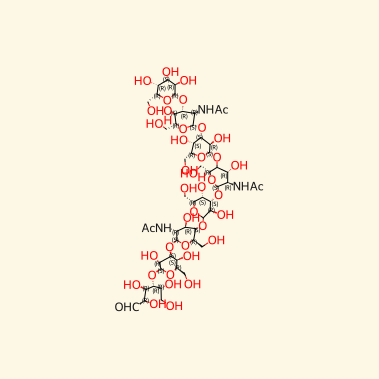 CC(=O)N[C@H]1[C@H](O[C@H]2[C@@H](O)[C@@H](CO)O[C@@H](O[C@@H]([C@H](O)[C@@H](O)C=O)[C@H](O)CO)[C@@H]2O)O[C@H](CO)[C@@H](OC2O[C@H](CO)[C@H](O)[C@H](O[C@@H]3O[C@H](CO)C(O[C@@H]4O[C@H](CO)[C@H](O)[C@H](O[C@@H]5O[C@H](CO)[C@@H](O)[C@H](O[C@@H]6O[C@H](CO)[C@H](O)[C@H](O)[C@H]6O)[C@H]5NC(C)=O)[C@H]4O)[C@H](O)[C@H]3NC(C)=O)[C@H]2O)[C@@H]1O